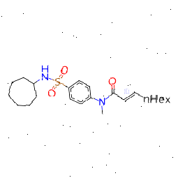 CCCCCC/C=C/C(=O)N(C)c1ccc(S(=O)(=O)NC2CCCCCC2)cc1